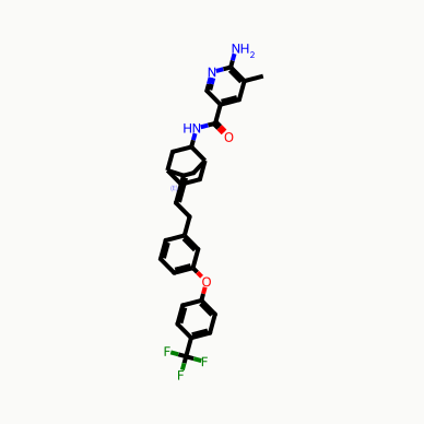 Cc1cc(C(=O)NC2CC3CCC2C/C3=C\Cc2cccc(Oc3ccc(C(F)(F)F)cc3)c2)cnc1N